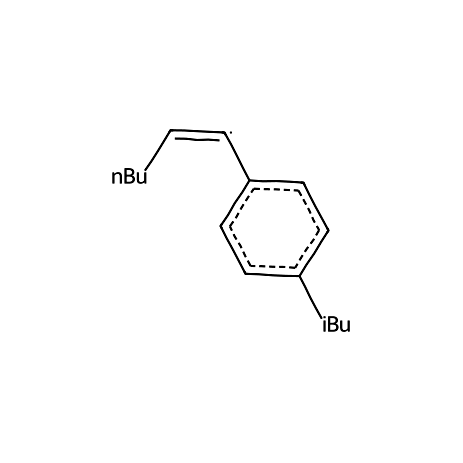 CCCC/C=[C]\c1ccc(C(C)CC)cc1